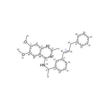 COc1cc2nc(C)nc(NC(C)c3cccc(/C=C/Cc4ccccc4)c3)c2cc1OC